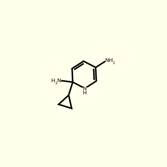 NC1=CNC(N)(C2CC2)C=C1